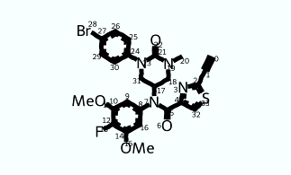 C#Cc1nc(C(=O)N(c2cc(OC)c(F)c(OC)c2)C2CN(C)C(=O)N(c3ccc(Br)cc3)C2)cs1